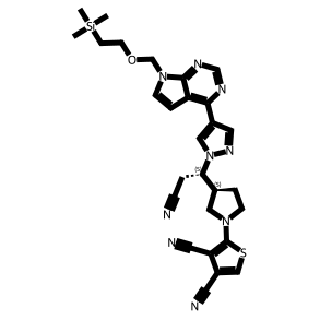 C[Si](C)(C)CCOCn1ccc2c(-c3cnn([C@@H](CC#N)[C@H]4CCN(c5scc(C#N)c5C#N)C4)c3)ncnc21